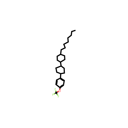 CCCCCCCCC1CCC(C2CCC(c3ccc(OC(F)(F)F)cc3)CC2)CC1